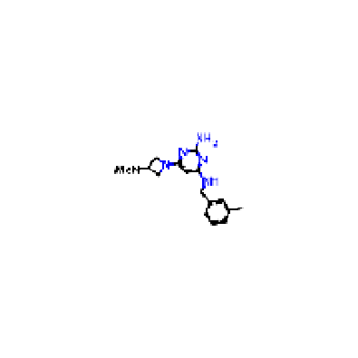 CNC1CN(c2cc(NCc3cccc(C)c3)nc(N)n2)C1